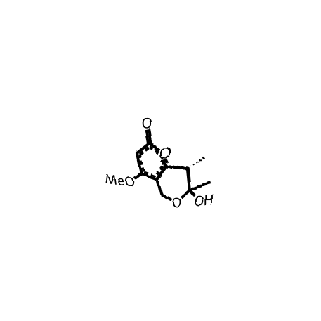 COc1cc(=O)oc2c1COC(C)(O)[C@H]2C